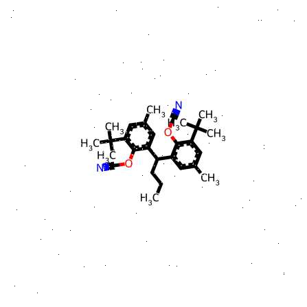 CCCC(c1cc(C)cc(C(C)(C)C)c1OC#N)c1cc(C)cc(C(C)(C)C)c1OC#N